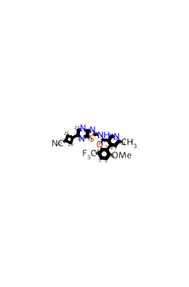 COc1ccc(C(F)(F)F)cc1-c1cc(C)ncc1C(=O)Nc1nc2ncc(C3CC(C#N)C3)nc2s1